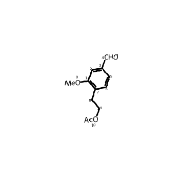 COc1cc(C=O)ccc1CCOC(C)=O